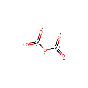 [O]=[V](=[O])[O][V](=[O])=[O]